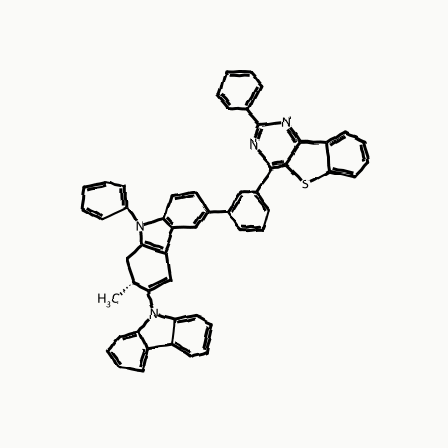 C[C@@H]1Cc2c(c3cc(-c4cccc(-c5nc(-c6ccccc6)nc6c5sc5ccccc56)c4)ccc3n2-c2ccccc2)C=C1n1c2ccccc2c2ccccc21